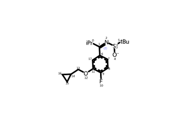 CC(C)/C(=N/[S+]([O-])C(C)(C)C)c1ccc(F)c(OCC2CC2)c1